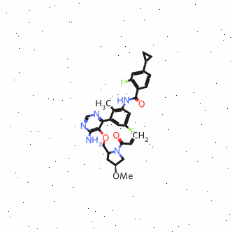 C=CC(=O)N1C[C@@H](OC)CC1COc1c(N)ncnc1-c1cc(F)cc(NC(=O)c2ccc(C3CC3)cc2F)c1C